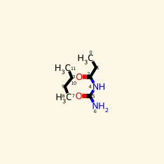 CCC(=O)NC(N)=O.CCCC